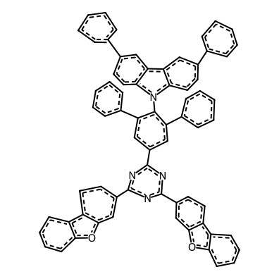 c1ccc(-c2ccc3c(c2)c2cc(-c4ccccc4)ccc2n3-c2c(-c3ccccc3)cc(-c3nc(-c4ccc5c(c4)oc4ccccc45)nc(-c4ccc5c(c4)oc4ccccc45)n3)cc2-c2ccccc2)cc1